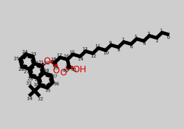 CCCCCCCCCCCCCCCCC(CC(=O)Oc1c2ccccc2cc2c(C(C)(C)C)cccc12)C(=O)O